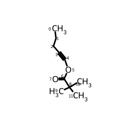 CCCC#COC(=O)C(C)(C)C